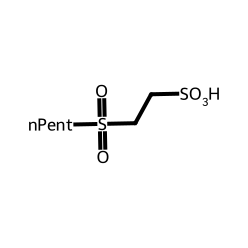 CCCCCS(=O)(=O)CCS(=O)(=O)O